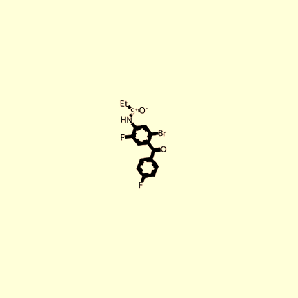 CC[S+]([O-])Nc1cc(Br)c(C(=O)c2ccc(F)cc2)cc1F